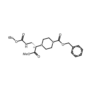 COC(=O)[C@H](CNC(=O)OC(C)(C)C)N1CCN(C(=O)OCc2ccccc2)CC1